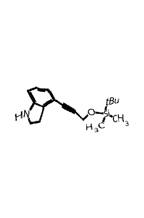 CC(C)(C)[Si](C)(C)OCC#Cc1cccc2c1CCN2